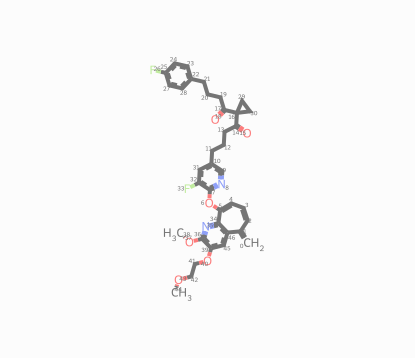 C=C1C=CC=C(Oc2ncc(CCCC(=O)C3(C(=O)CCCc4ccc(F)cc4)CC3)cc2F)c2nc(OC)c(OCCOC)cc21